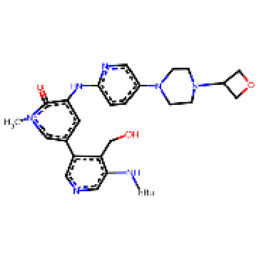 CCCCNc1cncc(-c2cc(Nc3ccc(N4CCN(C5COC5)CC4)cn3)c(=O)n(C)c2)c1CO